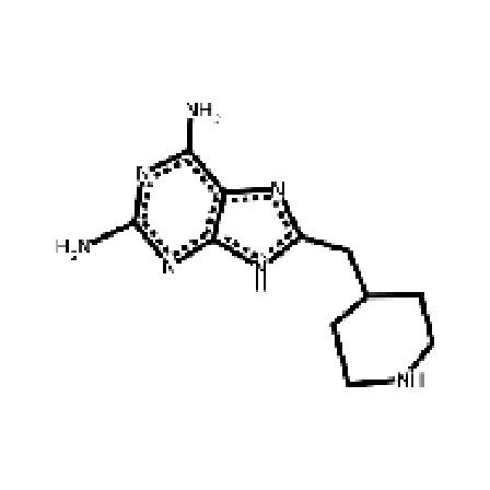 Nc1nc(N)c2nc(CC3CCNCC3)[nH]c2n1